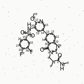 CNC(=O)C(C)Cn1cnc2ccc(-c3cnc(OC)c(NS(=O)(=O)c4ccc(F)c(F)c4)c3)cc2c1=O